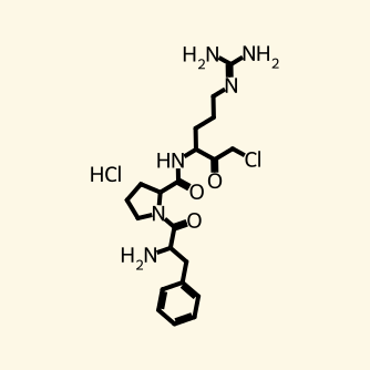 Cl.NC(N)=NCCCC(NC(=O)C1CCCN1C(=O)C(N)Cc1ccccc1)C(=O)CCl